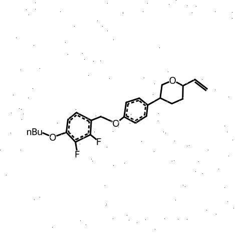 C=CC1CCC(c2ccc(OCc3ccc(OCCCC)c(F)c3F)cc2)CO1